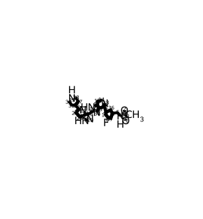 CS(=O)(=O)NCc1cc(F)cc(-c2nccc3[nH]c(-c4n[nH]c5ccc(C6=CCNCC6)nc45)nc23)c1